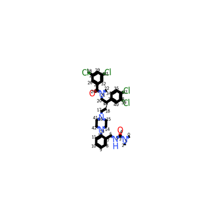 CN(C)C(=O)NCc1ccccc1N1CCN(CC[C@H](CN(C)C(=O)c2cc(Cl)cc(Cl)c2)c2ccc(Cl)c(Cl)c2)CC1